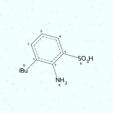 CCC(C)c1cccc(S(=O)(=O)O)c1N